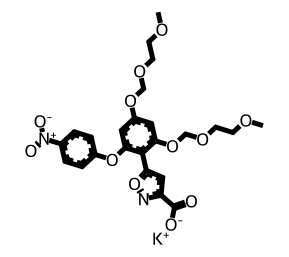 COCCOCOc1cc(OCOCCOC)c(-c2cc(C(=O)[O-])no2)c(Oc2ccc([N+](=O)[O-])cc2)c1.[K+]